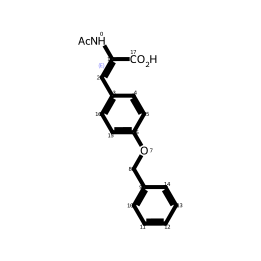 CC(=O)N/C(=C/c1ccc(OCc2ccccc2)cc1)C(=O)O